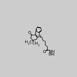 CC1(C)CC(=O)c2c(n(CCCCCC(=O)NO)c3ccccc23)C1